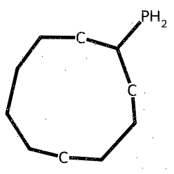 PC1CCCCCCCCC1